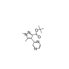 Cc1c(-c2cnccn2)c(C(=O)OC(C)(C)C)nn1C